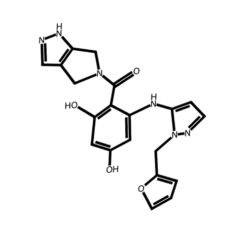 O=C(c1c(O)cc(O)cc1Nc1ccnn1Cc1ccco1)N1Cc2cn[nH]c2C1